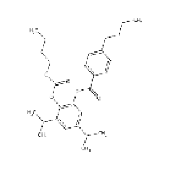 CCCCOC(=O)Oc1c(OC(=O)c2ccc(CCCC)cc2)cc(C(C)C)cc1C(C)C